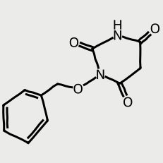 O=C1CC(=O)N(OCc2ccccc2)C(=O)N1